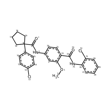 COc1cc(NC(=O)C2(c3ccc(Cl)cc3)CCCC2)ccc1C(=O)Nc1ncccc1Cl